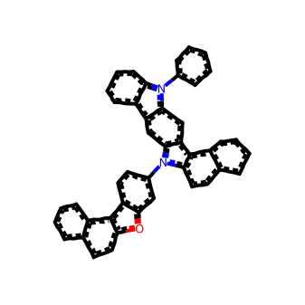 c1ccc(-n2c3ccccc3c3cc4c(cc32)c2c3ccccc3ccc2n4-c2ccc3c(c2)oc2ccc4ccccc4c23)cc1